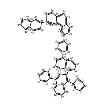 c1ccc(-c2c3c(c(-c4ccccc4)c4ccccc24)-c2ccc(-c4ccc(-c5ccc6ccc7ccc(-c8ccc9ccccc9c8)nc7c6n5)cc4)c4cccc-3c24)cc1